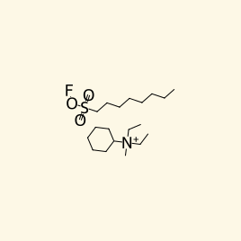 CCCCCCCCS(=O)(=O)OF.CC[N+](C)(CC)C1CCCCC1